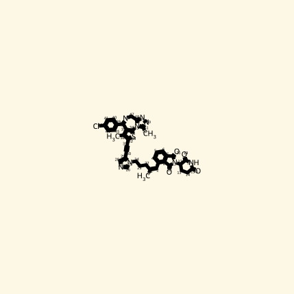 C/C(=C/c1cccc2c1C(=O)N(C1CCC(=O)NC1=O)C2=O)CCCn1cncc1C#Cc1sc2c(c1C)C(c1ccc(Cl)cc1)=NCc1nnc(C)n1-2